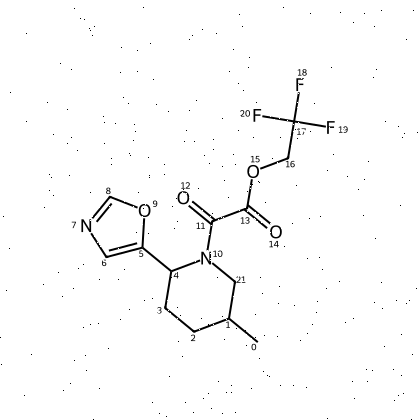 CC1CCC(c2cnco2)N(C(=O)C(=O)OCC(F)(F)F)C1